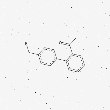 CC(=O)c1ccccc1-c1ccc(CF)cc1